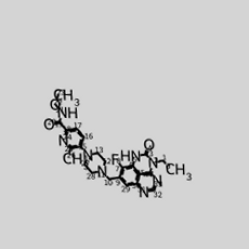 CCN1C(=O)Nc2c(F)c(CN3CCN(c4ccc(C(=O)NOC)nc4C)CC3)cc3ncnc1c23